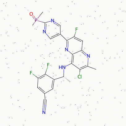 Cc1nc2cc(F)c(-c3cnc(P(C)(C)=O)nc3)nc2c(N[C@H](C)c2cc(C#N)cc(F)c2F)c1Cl